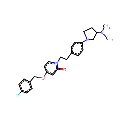 CN(C)C1CCN(c2ccc(CCn3ccc(OCc4ccc(F)cc4)cc3=O)cc2)C1